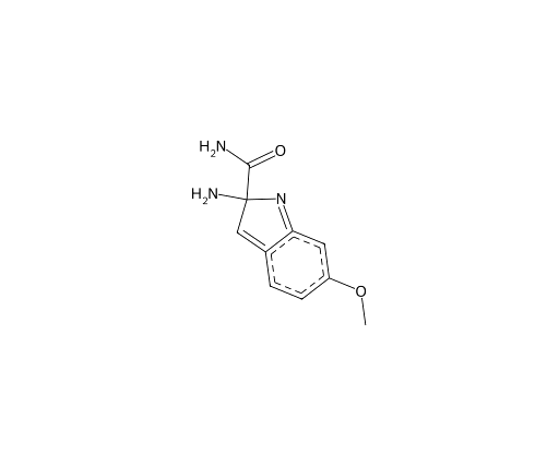 COc1ccc2c(c1)=NC(N)(C(N)=O)C=2